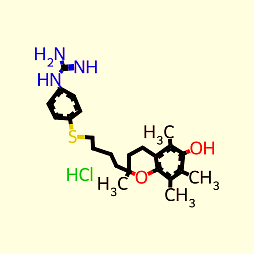 Cc1c(C)c2c(c(C)c1O)CCC(C)(CCCCSc1ccc(NC(=N)N)cc1)O2.Cl